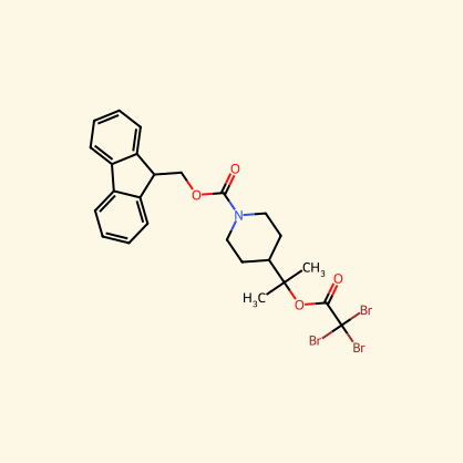 CC(C)(OC(=O)C(Br)(Br)Br)C1CCN(C(=O)OCC2c3ccccc3-c3ccccc32)CC1